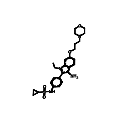 CCn1c(-c2ccc(NS(=O)(=O)C3CC3)cc2)c(N)c2ccc(OCCCN3CCOCC3)cc21